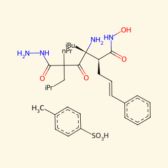 CCCC(CC(C)C)(C(=O)NN)C(=O)[C@@](N)(C(C)CC)[C@H](C/C=C/c1ccccc1)C(=O)NO.Cc1ccc(S(=O)(=O)O)cc1